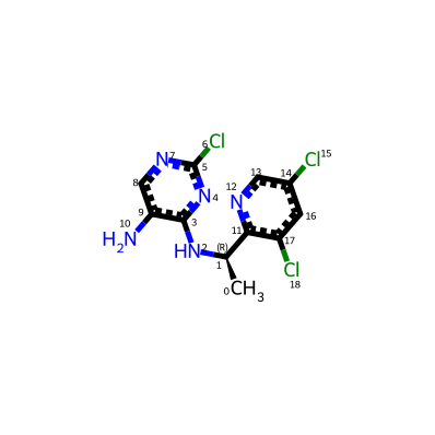 C[C@@H](Nc1nc(Cl)ncc1N)c1ncc(Cl)cc1Cl